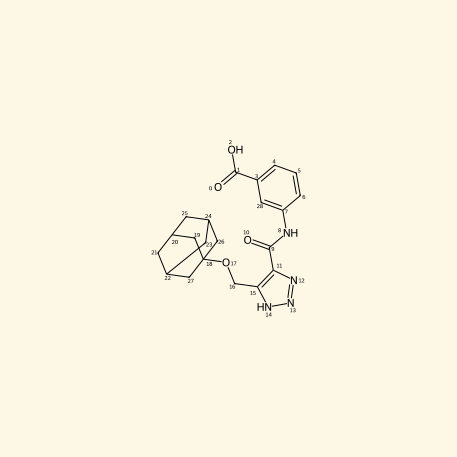 O=C(O)c1cccc(NC(=O)c2nn[nH]c2COC23CC4CC(CC(C4)C2)C3)c1